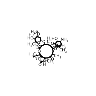 CC[C@H]1OC(=O)[C@H](C)[C@@H](O[C@H]2C[C@@](C)(OC)[C@@H](O)[C@H](C)O2)[C@H](C)[C@@H](O[C@@H]2O[C@H](C)C[C@H](N)[C@H]2O)[C@@](C)(OC(C)=O)C[C@@H](C)C(=O)[C@H](C)[C@H]2NC(=O)O[C@@]21C